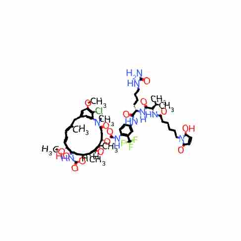 COc1cc2cc(c1Cl)N(C)C(=O)C[C@H](OC(=O)Nc1ccc(NC(=O)[C@H](CCCCNC(N)=O)NC(=O)[C@@H](NC(=O)CCCCCN3C(=O)C=CC3O)C(C)C)cc1C(F)(F)F)[C@]1(C)O[C@H]1[C@H](C)[C@@H]1C[C@@](O)(NC(=O)O1)[C@H](OC)/C=C/C=C(\C)C2